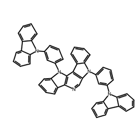 c1cc(-n2c3ccccc3c3ccccc32)cc(-n2c3ccccc3c3c2cnc2c4ccccc4n(-c4cccc(-n5c6ccccc6c6ccccc65)c4)c23)c1